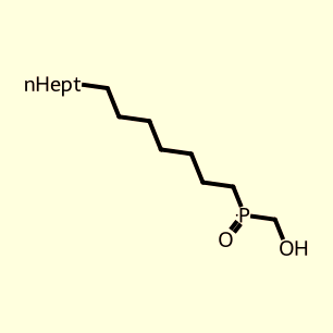 CCCCCCCCCCCCCC[P](=O)CO